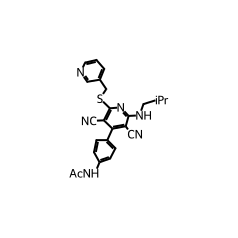 CC(=O)Nc1ccc(-c2c(C#N)c(NCC(C)C)nc(SCc3cccnc3)c2C#N)cc1